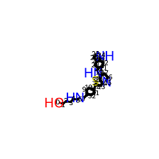 OCCCCCNCc1ccc(-c2cc3nccc(Nc4ccc5[nH]ccc5c4)c3s2)cc1